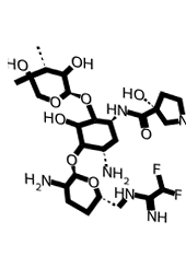 C[C@@H]1C(O)[C@@H](OC2C(O)C(O[C@H]3O[C@H](CNC(=N)C(F)F)CCC3N)[C@@H](N)C[C@H]2NC(=O)[C@@]2(O)CCNC2)OCC1(C)O